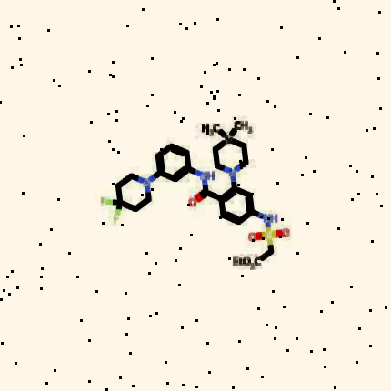 CCOC(=O)CS(=O)(=O)Nc1ccc(C(=O)Nc2cccc(N3CCC(F)(F)CC3)c2)c(N2CC[Si](C)(C)CC2)c1